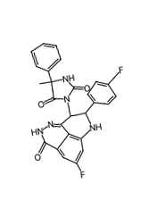 CC1(c2ccccc2)NC(=O)N(C2c3n[nH]c(=O)c4cc(F)cc(c34)NC2c2ccc(F)cc2)C1=O